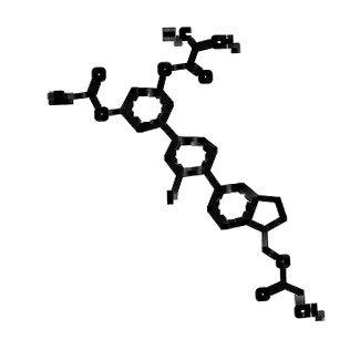 C=CC(=O)OCC1CCc2cc(-c3ccc(-c4cc(OC(=O)C(=C)C)cc(OC(=O)C(C)(C)C)c4)cc3F)ccc21